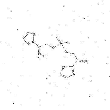 C=C(COP(=O)(Cl)OCC(=C)c1ncco1)c1ncco1